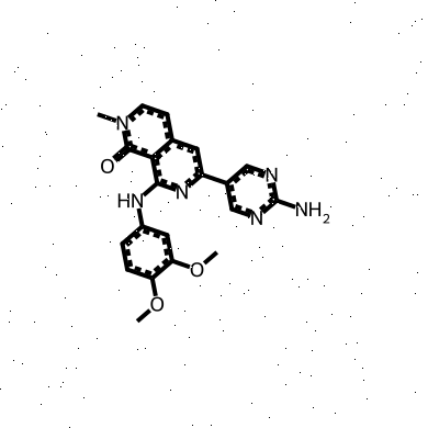 COc1ccc(Nc2nc(-c3cnc(N)nc3)cc3ccn(C)c(=O)c23)cc1OC